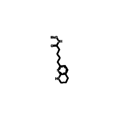 CONC(=O)CCCCc1ccc2c(n1)NCCC2